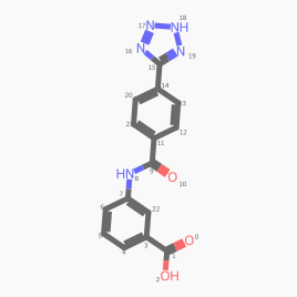 O=C(O)c1cccc(NC(=O)c2ccc(-c3nn[nH]n3)cc2)c1